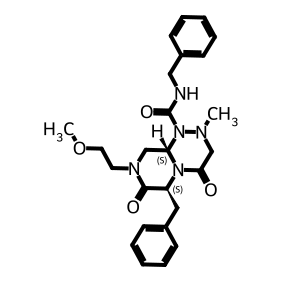 COCCN1C[C@H]2N(C(=O)CN(C)N2C(=O)NCc2ccccc2)[C@@H](Cc2ccccc2)C1=O